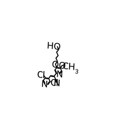 COc1cnc(C(C#N)=Cc2c(Cl)cncc2Cl)cc1OCCCCCO